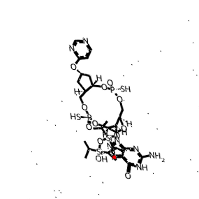 CC(C)[Si](O)(O[Si](O[C@H]1[C@H]2O[P@@](=O)(S)OC[C@H]3C[C@@H](Oc4ccncn4)C[C@@H]3O[P@](=O)(S)OC[C@H]1O[C@H]2n1nnc2c(=O)[nH]c(N)nc21)(C(C)C)C(C)C)C(C)C